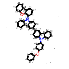 c1ccc(Oc2ccc(-n3c4ccccc4c4cc(-c5ccc6c(c5)c5ccccc5n6-c5cccc6c5oc5ccccc56)ccc43)cc2)cc1